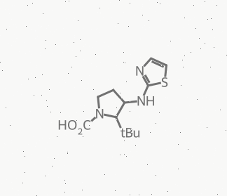 CC(C)(C)C1C(Nc2nccs2)CCN1C(=O)O